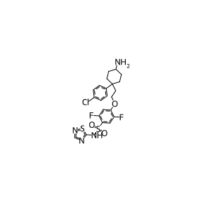 NC1CCC(CCOc2cc(F)c(S(=O)(=O)Nc3ncns3)cc2F)(c2ccc(Cl)cc2)CC1